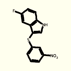 O=[N+]([O-])c1cccc(Sc2c[nH]c3ccc(F)cc23)c1